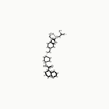 CCn1c(OCC(F)F)nc2c1CCN(CC[C@H]1CC[C@H](NC(=O)c3cccc4ncccc34)CC1)C2